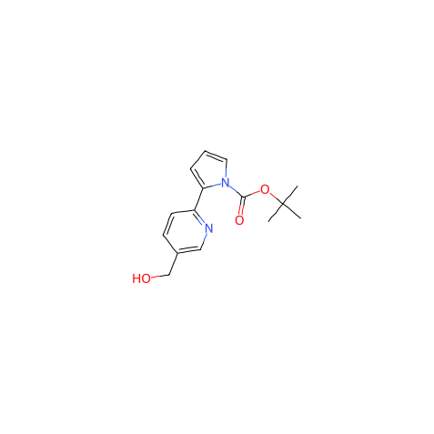 CC(C)(C)OC(=O)n1cccc1-c1ccc(CO)cn1